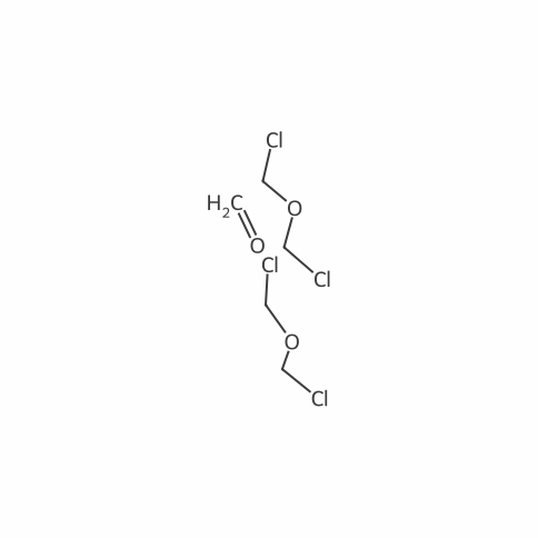 C=O.ClCOCCl.ClCOCCl